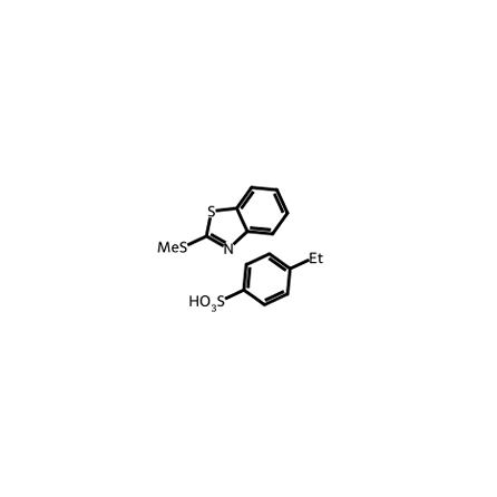 CCc1ccc(S(=O)(=O)O)cc1.CSc1nc2ccccc2s1